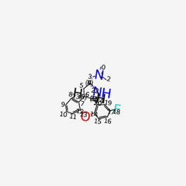 CN(C)C[C@H]1C[C@@H]2c3ccccc3Oc3ccc(F)cc3[C@H]2N1